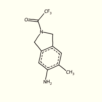 Cc1cc2c(cc1N)CN(C(=O)C(F)(F)F)C2